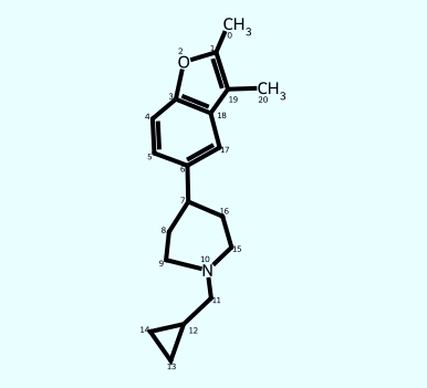 Cc1oc2ccc(C3CCN(CC4CC4)CC3)cc2c1C